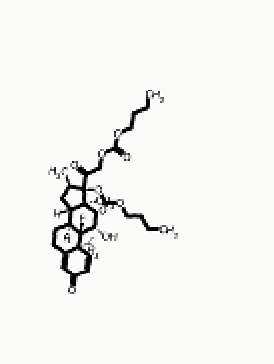 CCCCOC(=O)OCC(=O)[C@@]1(OC(=O)OCCCC)[C@H](C)C[C@H]2[C@@H]3CCC4=CC(=O)C=C[C@]4(C)[C@@]3(F)[C@@H](O)C[C@@]21C